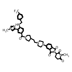 CN1C(=O)CCC(N2C(=O)c3ccc(N4CCN(CCC5CCN(C(=O)c6ccc(NCc7ccc(C(F)(F)F)cc7)c(-c7cn(C)cn7)c6)CC5)CC4)cc3C2=O)C1=O